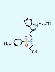 Cc1ccc(S(=O)(=O)N(CCC#N)CCc2cn(CCC#N)c3ccccc23)cc1